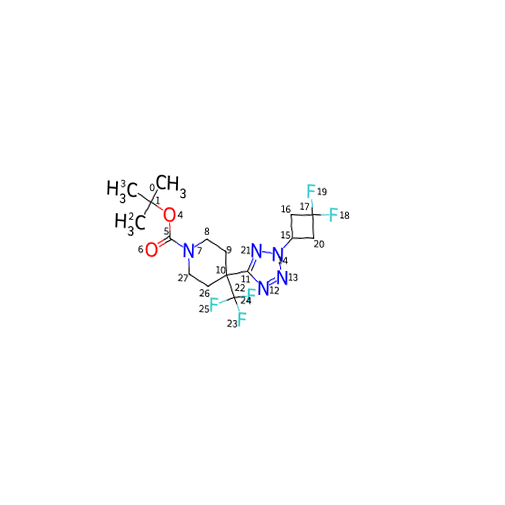 CC(C)(C)OC(=O)N1CCC(c2nnn(C3CC(F)(F)C3)n2)(C(F)(F)F)CC1